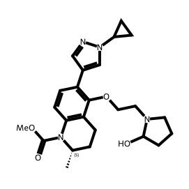 COC(=O)N1c2ccc(-c3cnn(C4CC4)c3)c(OCCN3CCCC3O)c2CC[C@@H]1C